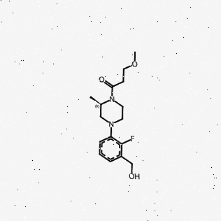 COCCC(=O)N1CCN(c2cccc(CO)c2F)C[C@H]1C